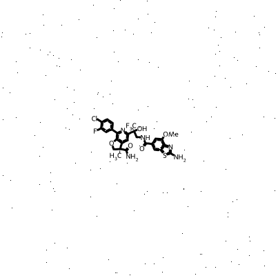 COc1cc(C(=O)NC[C@](O)(c2cc3c(c(-c4ccc(Cl)c(F)c4)n2)OC[C@]3(C)C(N)=O)C(F)(F)F)cc2sc(N)nc12